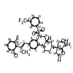 C/C(=C\c1ccc2c(c1)N(S(=O)(=O)c1cccc(C(F)(F)F)c1)C[C@@H]1CN(C(CO)(CO)C(N)=O)CCN21)c1c(F)cccc1Cl